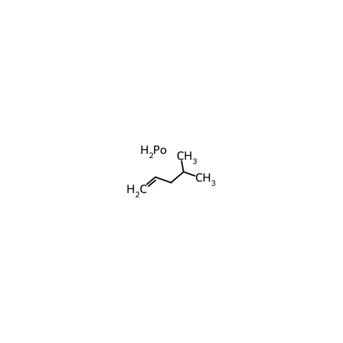 C=CCC(C)C.[PoH2]